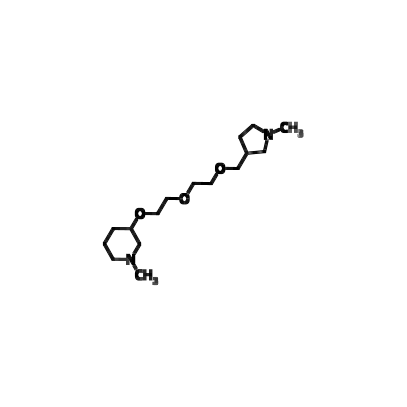 CN1CCC(COCCOCCOC2CCCN(C)C2)C1